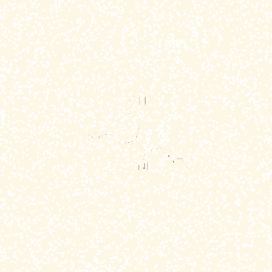 NCC(N)C(CCO)CCO